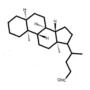 CC(CCC=O)C1CC[C@H]2[C@@H]3CC[C@@H]4CCCC[C@]4(C)[C@H]3CC[C@]12C